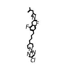 C=C(C)CC1CN(C(=C)Cc2c(F)cc(CCCCC3CCN(c4ncc(Cl)cn4)CC3)cc2F)C1